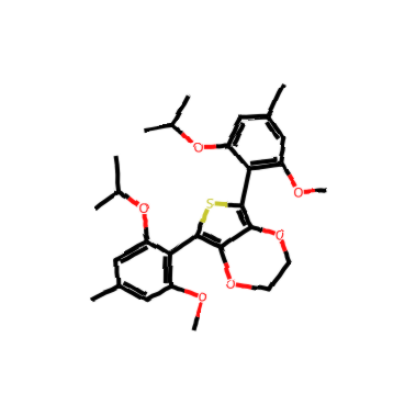 COc1cc(C)cc(OC(C)C)c1-c1sc(-c2c(OC)cc(C)cc2OC(C)C)c2c1OCCO2